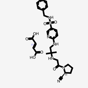 CC(C)(CNc1ccc(S(=O)(=O)NCc2ccccc2)cn1)NCC(=O)N1CCC[C@H]1C#N.O=C(O)/C=C/C(=O)O